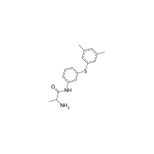 Cc1cc(C)cc(Sc2cccc(NC(=O)C(C)N)c2)c1